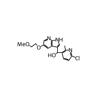 COCCOc1cnc2[nH]cc(C(O)c3ccc(Cl)nc3C)c2c1